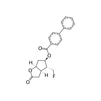 O=C1C[C@@H]2[C@@H](CF)[C@H](OC(=O)c3ccc(-c4ccccc4)cc3)C[C@@H]2O1